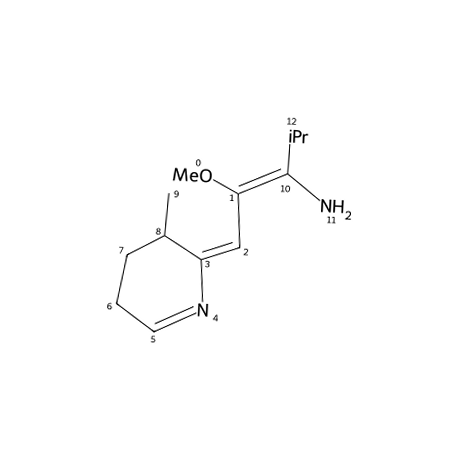 COC(/C=C1/N=CCCC1C)=C(/N)C(C)C